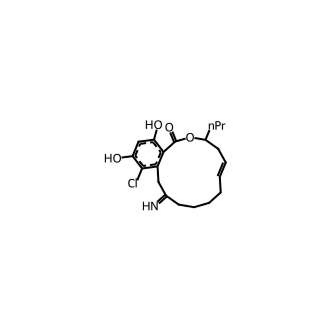 CCCC1C/C=C/CCCCC(=N)Cc2c(Cl)c(O)cc(O)c2C(=O)O1